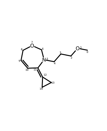 COCCCN1COCC=CC1=C1CC1